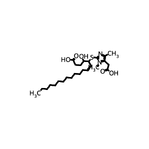 CCCCCCCCCCCC/C=C\C(Sc1nc(C)c(CC(=O)O)n1C)C(O)CCC(=O)O